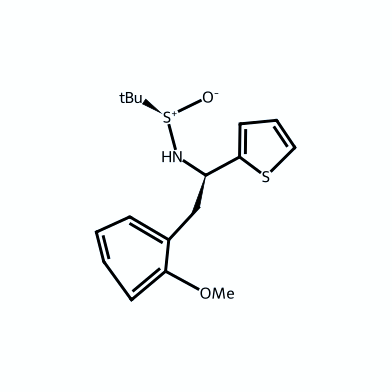 COc1ccccc1C[C@@H](N[S@+]([O-])C(C)(C)C)c1cccs1